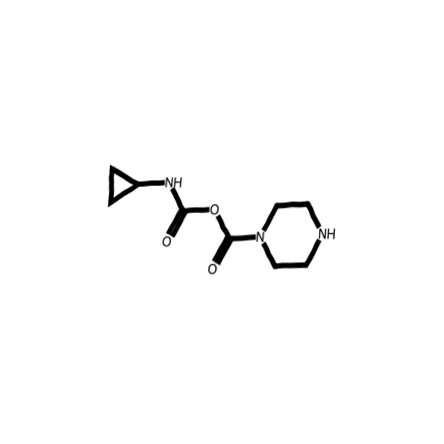 O=C(NC1CC1)OC(=O)N1CCNCC1